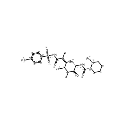 CC(=C[C@H](C(C)C)N(C)C(=O)[C@@H](NC(=O)[C@H]1CCCCN1C(C)C)C(C)(C)C)C(=O)NS(=O)(=O)c1ccc(N)cc1